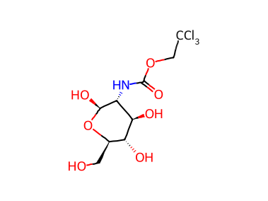 O=C(N[C@@H]1[C@@H](O)[C@H](O)[C@@H](CO)O[C@H]1O)OCC(Cl)(Cl)Cl